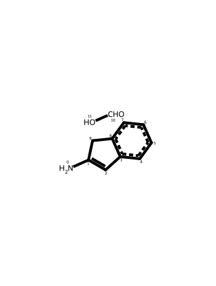 NC1=Cc2ccccc2C1.O=CO